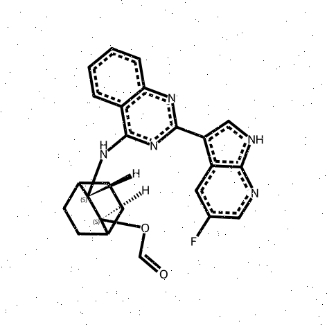 O=CO[C@H]1C2CCC(CC2)[C@@H]1Nc1nc(-c2c[nH]c3ncc(F)cc23)nc2ccccc12